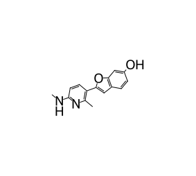 CNc1ccc(-c2cc3ccc(O)cc3o2)c(C)n1